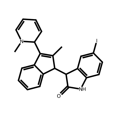 CC1=C(C2C=CC=CN2C)c2ccccc2C1C1C(=O)Nc2ccc(I)cc21